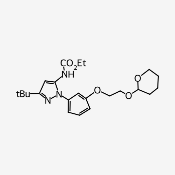 CCOC(=O)Nc1cc(C(C)(C)C)nn1-c1cccc(OCCOC2CCCCO2)c1